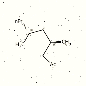 CCC[C@@H](C)C[C@@H](C)CC(C)=O